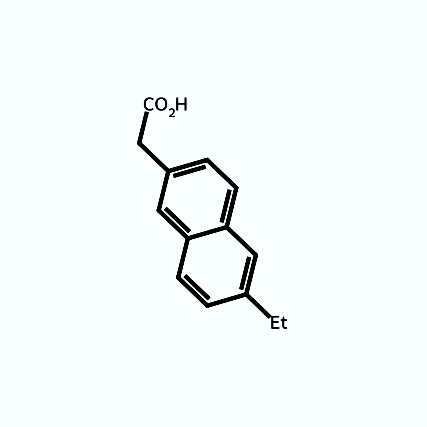 CCc1ccc2cc(CC(=O)O)ccc2c1